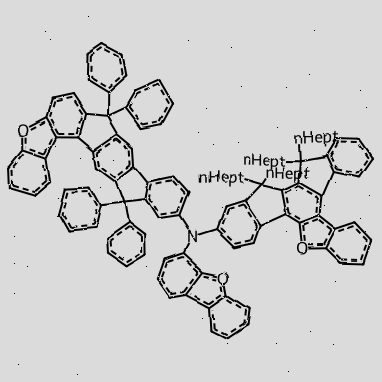 CCCCCCCC1(CCCCCCC)c2cc(N(c3ccc4c(c3)C(c3ccccc3)(c3ccccc3)c3cc5c(cc3-4)C(c3ccccc3)(c3ccccc3)c3ccc4oc6ccccc6c4c3-5)c3cccc4c3oc3ccccc34)ccc2-c2c1c1c(c3c2oc2ccccc23)-c2ccccc2C1(CCCCCCC)CCCCCCC